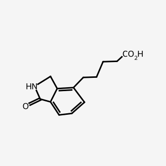 O=C(O)CCCCc1cccc2c1CNC2=O